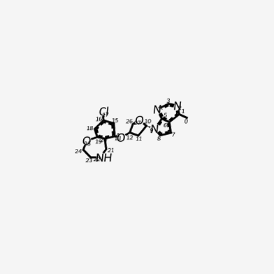 Cc1ncnc2c1ccn2[C@@H]1CC(Oc2cc(Cl)cc3c2CNCCO3)CO1